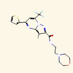 O=C(NCCN1CCOCC1)c1nn2c(C(F)(F)F)cc(-c3cccs3)nc2c1Br